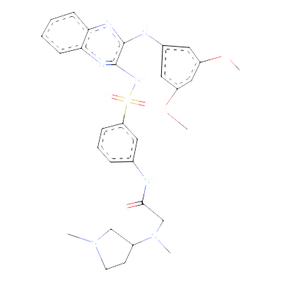 COc1cc(Nc2nc3ccccc3nc2NS(=O)(=O)c2cccc(NC(=O)CN(C)C3CCN(C)C3)c2)cc(OC)c1